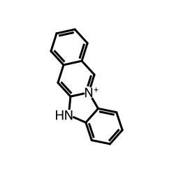 c1ccc2c[n+]3c(cc2c1)[nH]c1ccccc13